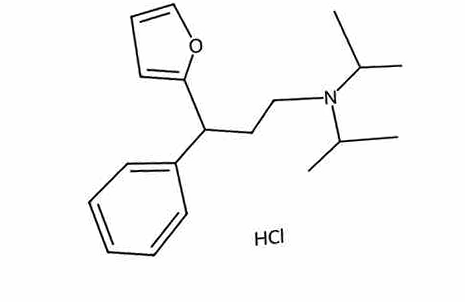 CC(C)N(CCC(c1ccccc1)c1ccco1)C(C)C.Cl